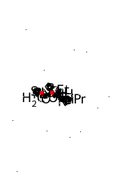 C=C(CN1CCSCC1)C(=O)NC[C@@H](NC(=O)[C@H](Cc1nc2ccc(C(C)C)cc2s1)NC(=O)CC)C1CCCCC1